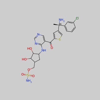 C[C@@](N)(c1cccc(Cl)c1)c1csc(C(=O)c2cncnc2NC2CC(COS(N)(=O)=O)C(O)C2O)c1